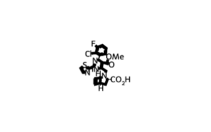 COC(=O)C1=C(CN2[C@@H]3C#C[C@@H]3C[C@H]2C(=O)O)NC(c2nccs2)=N[C@H]1c1cccc(F)c1Cl